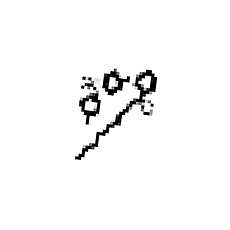 CCCCCCCCCCCC(=O)c1ccccc1.Cc1ccc([S+]([O-])c2ccc(C)cc2)cc1